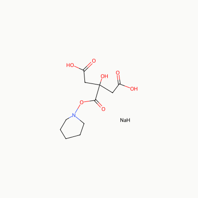 O=C(O)CC(O)(CC(=O)O)C(=O)ON1CCCCC1.[NaH]